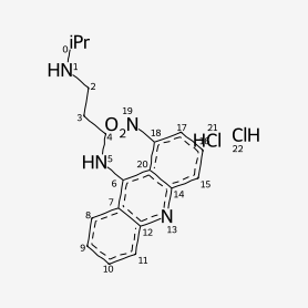 CC(C)NCCCNc1c2ccccc2nc2cccc([N+](=O)[O-])c12.Cl.Cl